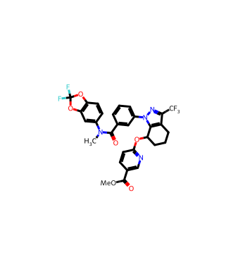 COC(=O)c1ccc(OC2CCCc3c(C(F)(F)F)nn(-c4cccc(C(=O)N(C)c5ccc6c(c5)OC(F)(F)O6)c4)c32)nc1